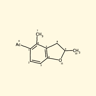 CC(=O)c1ccc2c(c1C)CC(C)O2